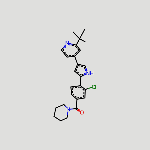 CC(C)(C)c1cc(-c2c[nH]c(-c3ccc(C(=O)N4CCCCC4)cc3Cl)c2)ccn1